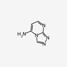 Nc1ccnc2nncn12